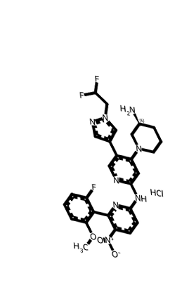 COc1cccc(F)c1-c1nc(Nc2cc(N3CCC[C@H](N)C3)c(-c3cnn(CC(F)F)c3)cn2)ccc1[N+](=O)[O-].Cl